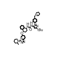 CC1CCCCN1c1nnc2ccc(O[C@@H]3CC[C@H](NC(=O)Nc4cc(C(C)(C)C)nn4-c4ccc(CN5CCCC5)cc4)c4ccccc43)cn12